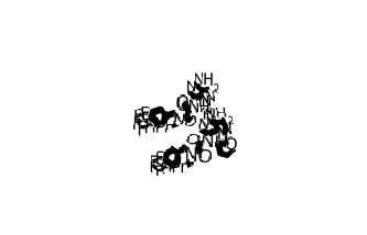 CC(C)CN(Cc1ccc(S(F)(F)(F)(F)F)cc1)C(=O)C(=O)Nc1cnc(N)c2cn[nH]c12.CC(C)CN(Cc1ccc(S(F)(F)(F)(F)F)cc1)C(=O)C(=O)Nc1cnc(N)c2cnn(C3CCCCO3)c12